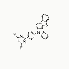 Fc1cc(F)nc(-c2ccc(-n3c4ccccc4c4c5sc6ccccc6c5ccc43)cc2)n1